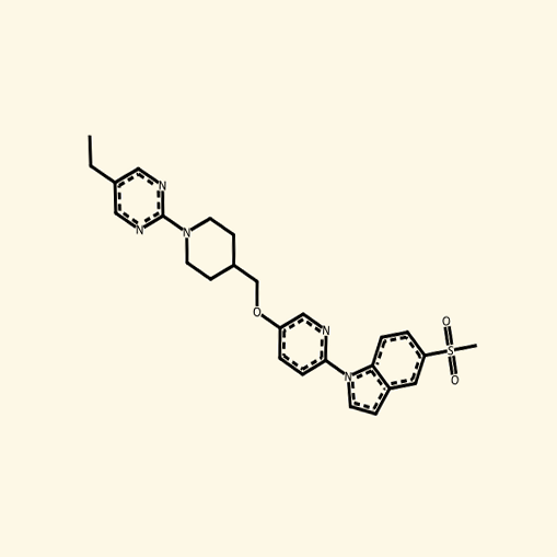 CCc1cnc(N2CCC(COc3ccc(-n4ccc5cc(S(C)(=O)=O)ccc54)nc3)CC2)nc1